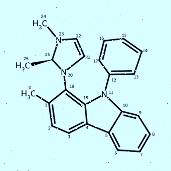 Cc1ccc2c3ccccc3n(-c3ccccc3)c2c1N1C=CN(C)[C@@H]1C